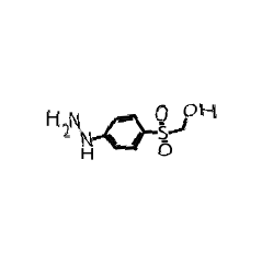 NNc1ccc(S(=O)(=O)CO)cc1